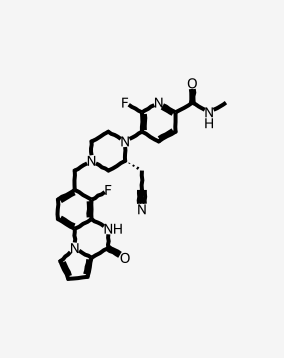 CNC(=O)c1ccc(N2CCN(Cc3ccc4c([nH]c(=O)c5cccn54)c3F)C[C@H]2CC#N)c(F)n1